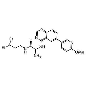 CCN(CC)CCNC(=O)C(C)Nc1ncnc2ccc(-c3ccc(OC)nc3)cc12